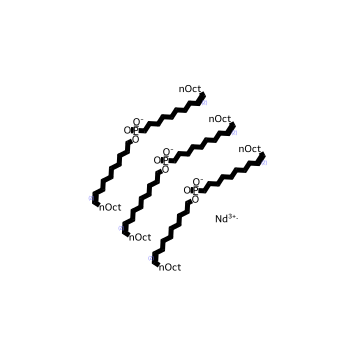 CCCCCCCC/C=C\CCCCCCCCOP(=O)([O-])CCCCCCCC/C=C\CCCCCCCC.CCCCCCCC/C=C\CCCCCCCCOP(=O)([O-])CCCCCCCC/C=C\CCCCCCCC.CCCCCCCC/C=C\CCCCCCCCOP(=O)([O-])CCCCCCCC/C=C\CCCCCCCC.[Nd+3]